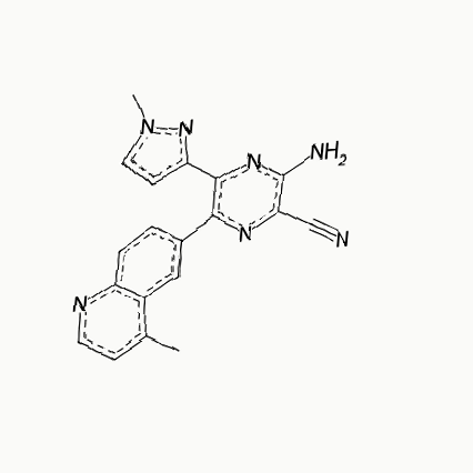 Cc1ccnc2ccc(-c3nc(C#N)c(N)nc3-c3ccn(C)n3)cc12